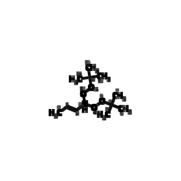 CC=C[SiH](OOC(C)(C)C)OOC(C)(C)C